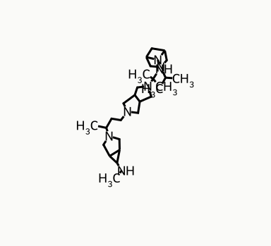 CNC1C2CN(C(C)CCN3CC4CN(C(C)(C)NN5C6CC5CN(C(C)C)C6)CC4C3)CC21